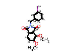 COc1ccc2c(c1OC)C(=O)N(Cc1cccc(I)c1)C2=O